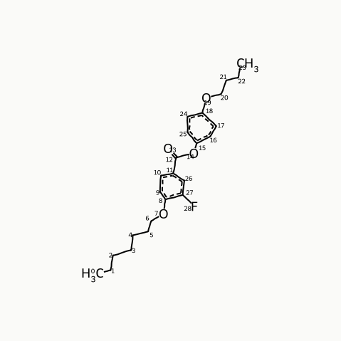 CCCCCCCOc1ccc(C(=O)Oc2ccc(OCCCC)cc2)cc1F